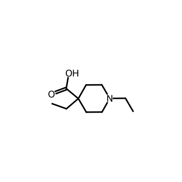 CCN1CCC(CC)(C(=O)O)CC1